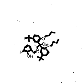 CCCCOc1ccc(C(C)(C)C)cc1C(O)(c1cc(C(C)(C)C)ccc1OCCCC)[C@@H](C)N=Cc1cccc(F)c1O